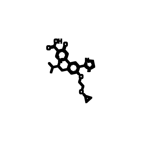 CC(C)C1Cc2cc(OCCOC3CC3)c(-c3nccs3)cc2-c2cc(=O)c(C(=O)O)cn21